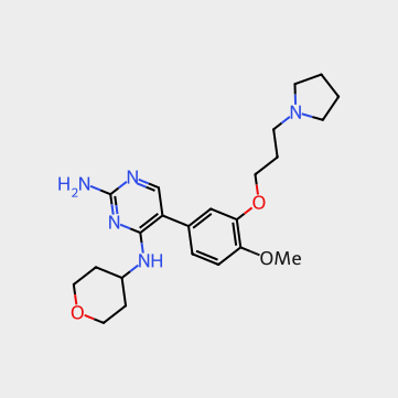 COc1ccc(-c2cnc(N)nc2NC2CCOCC2)cc1OCCCN1CCCC1